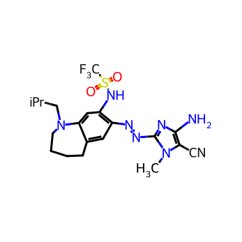 CC(C)CN1CCCCc2cc(N=Nc3nc(N)c(C#N)n3C)c(NS(=O)(=O)C(F)(F)F)cc21